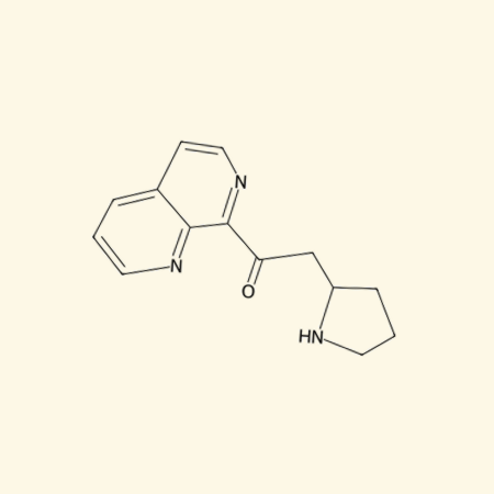 O=C(CC1CCCN1)c1nccc2cccnc12